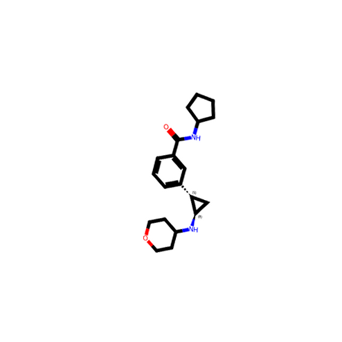 O=C(NC1CCCC1)c1cccc([C@@H]2C[C@H]2NC2CCOCC2)c1